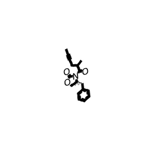 CC#CCC(C)C(=O)N1C(=O)OC[C@H]1Cc1ccccc1